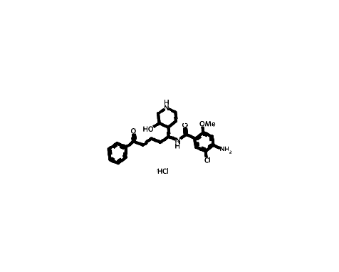 COc1cc(N)c(Cl)cc1C(=O)NC(CCCC(=O)c1ccccc1)C1CCNCC1O.Cl